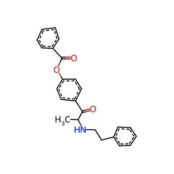 CC(NCCc1ccccc1)C(=O)c1ccc(OC(=O)c2ccccc2)cc1